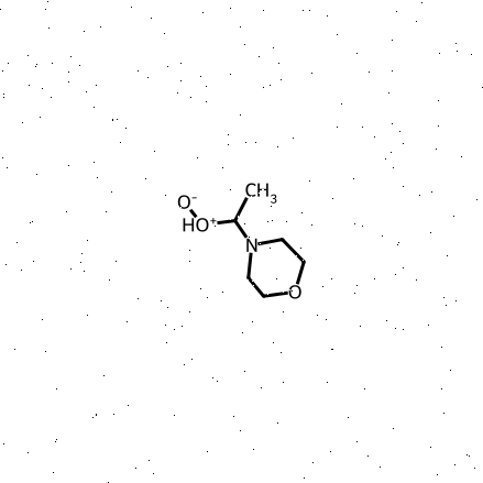 CC([OH+][O-])N1CCOCC1